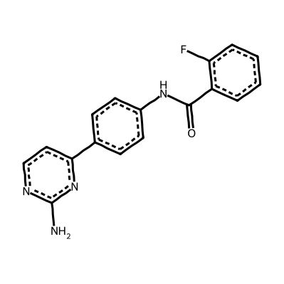 Nc1nccc(-c2ccc(NC(=O)c3ccccc3F)cc2)n1